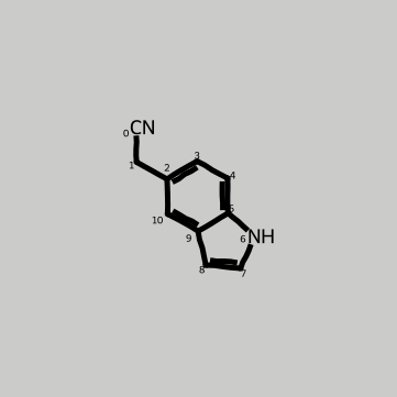 N#CCc1ccc2[nH]ccc2c1